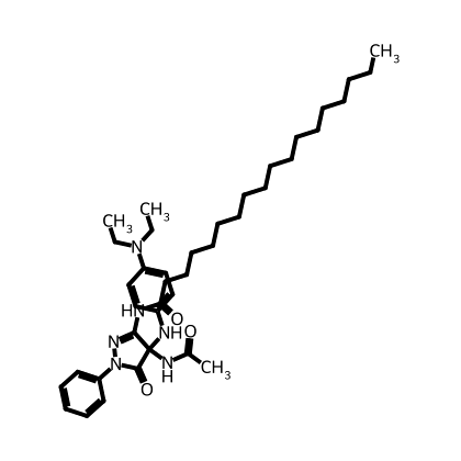 CCCCCCCCCCCCCCCCCC(=O)NC1=NN(c2ccccc2)C(=O)C1(NC(C)=O)Nc1ccc(N(CC)CC)cc1